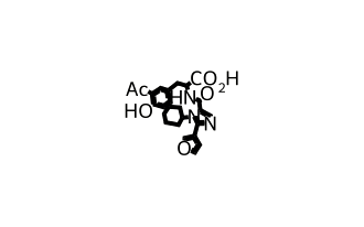 CC(=O)c1cc(CC(NC(=O)c2cnc(-c3ccoc3)n2C2CCCCC2)C(=O)O)ccc1O